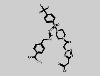 CC(C)c1ccc(CNC(=O)[C@H]2CN(C(=O)Cn3nnc(CC(=O)O)n3)CCN2S(=O)(=O)c2ccc(C(F)(F)F)cc2)cc1